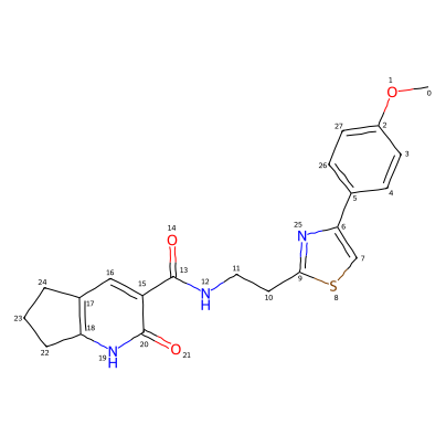 COc1ccc(-c2csc(CCNC(=O)c3cc4c([nH]c3=O)CCC4)n2)cc1